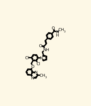 CNC(=O)c1ccc(/C=C/C(=O)NCc2cccn2-c2ccc(Cl)c(COc3cccc4ncc(C)nc34)c2Cl)cc1